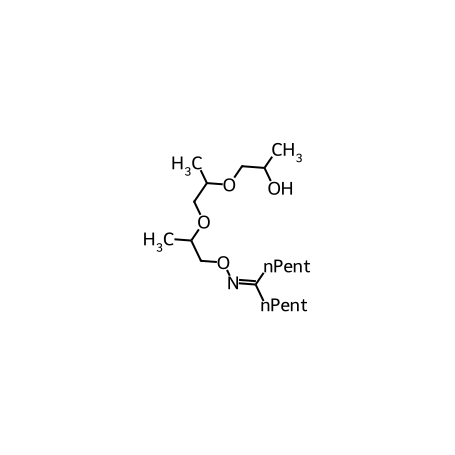 CCCCCC(CCCCC)=NOCC(C)OCC(C)OCC(C)O